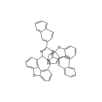 c1ccc2cc(C3=NC(c4cccc5oc6cccc(-c7ccc8oc9ccccc9c8c7)c6c45)NC(c4ccc5ccccc5c4)=N3)ccc2c1